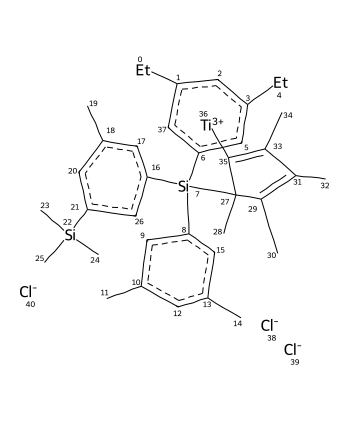 CCc1cc(CC)cc([Si](c2cc(C)cc(C)c2)(c2cc(C)cc([Si](C)(C)C)c2)C2(C)C(C)=C(C)C(C)=[C]2[Ti+3])c1.[Cl-].[Cl-].[Cl-]